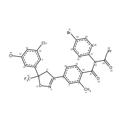 Cc1cc(C2=NOC(c3cc(Cl)cc(Cl)c3)(C(F)(F)F)C2)ccc1C(=O)N(C(=O)C(C)C)c1ncc(Br)cn1